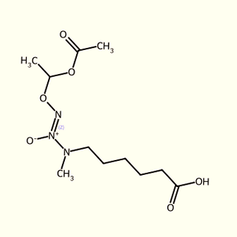 CC(=O)OC(C)O/N=[N+](\[O-])N(C)CCCCCC(=O)O